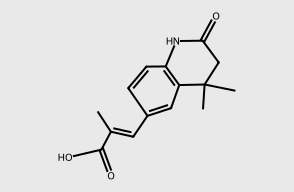 C/C(=C\c1ccc2c(c1)C(C)(C)CC(=O)N2)C(=O)O